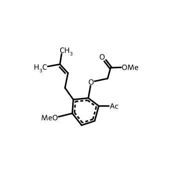 COC(=O)COc1c(C(C)=O)ccc(OC)c1CC=C(C)C